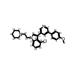 COc1ccc(-c2cncc(-c3cn(CCN4CCCCC4)c4cccc(Cl)c34)c2)cc1